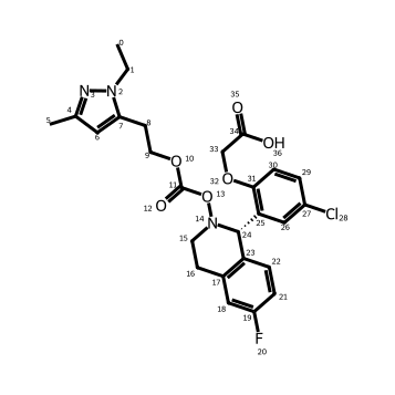 CCn1nc(C)cc1CCOC(=O)ON1CCc2cc(F)ccc2[C@H]1c1cc(Cl)ccc1OCC(=O)O